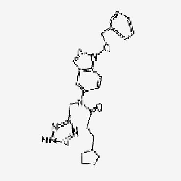 O=C(CCC1CCCC1)N(Cc1nn[nH]n1)c1ccc2c(cnn2OCc2ccccc2)c1